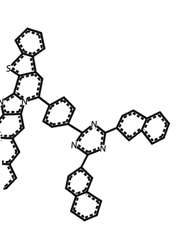 c1ccc2cc(-c3nc(-c4ccc(-c5cc6c7ccccc7sc6c6nc7cc8cc9ccccc9cc8cc7n56)cc4)nc(-c4ccc5ccccc5c4)n3)ccc2c1